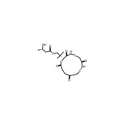 C[C@@H](O)CC(=O)OCC(C)(C)[C@H]1OC(=O)CCC(=O)SCCNC(=O)CCNC1=O